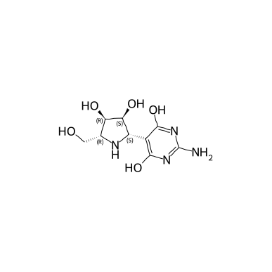 Nc1nc(O)c([C@@H]2N[C@H](CO)[C@@H](O)[C@H]2O)c(O)n1